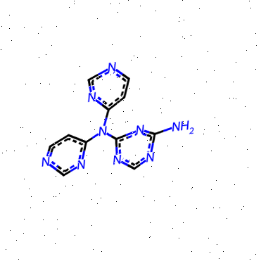 Nc1ncnc(N(c2ccncn2)c2ccncn2)n1